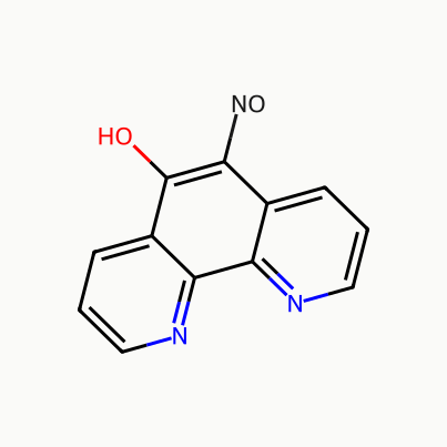 O=Nc1c(O)c2cccnc2c2ncccc12